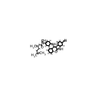 CN(C)CCN(C)CC(=O)N(C)c1ccc(NC(=C2C(=O)Nc3cc(C#N)ccc32)c2ccccc2)cc1